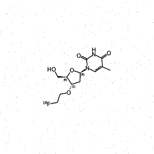 Cc1cn([C@H]2C[C@H](OCC[18F])[C@@H](CO)O2)c(=O)[nH]c1=O